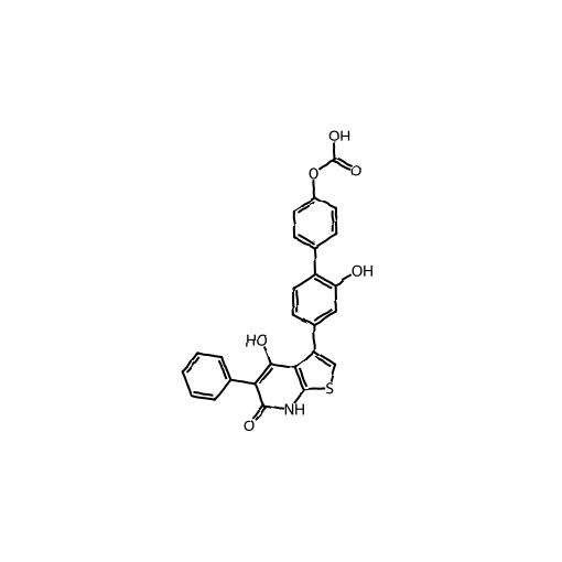 O=C(O)Oc1ccc(-c2ccc(-c3csc4[nH]c(=O)c(-c5ccccc5)c(O)c34)cc2O)cc1